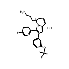 Cl.NCCC[C@H]1CN=Cc2cc(-c3cccc(OC(F)(F)F)c3)c(-c3ccc(F)cc3)n21